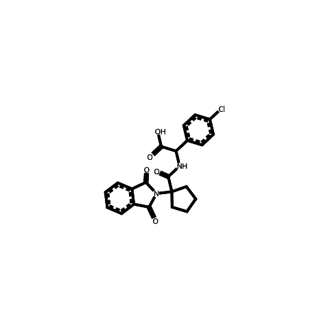 O=C(O)C(NC(=O)C1(N2C(=O)c3ccccc3C2=O)CCCC1)c1ccc(Cl)cc1